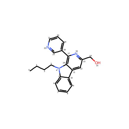 CCCCn1c2ccccc2c2cc(CO)nc(-c3cccnc3)c21